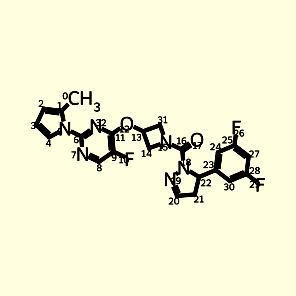 Cc1cccn1-c1ncc(F)c(OC2CN(C(=O)N3N=CCC3c3cc(F)cc(F)c3)C2)n1